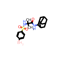 Bc1ccc(S(=O)(=O)NC(C)(C)C(=O)NC2C3CC4CC(C3)CC2C4)cc1